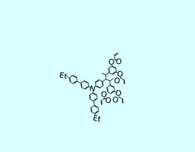 C=CC(=O)Oc1cc(OC(=O)C=C)cc(C(C)C(c2ccc(N(c3ccc(-c4ccc(CC)cc4)cc3)c3ccc(-c4ccc(CC)cc4)cc3)cc2)C(C)c2cc(OC(=O)C=C)cc(OC(=O)C=C)c2)c1